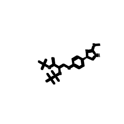 CSC1=N[C@@H](c2ccc(OCC(O[Si](C)(C)C(C)(C)C)C(=O)OC(C)(C)C)cc2)CN1